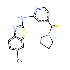 N#Cc1ccc2nc(Nc3cc(C(=S)N4CCCC4)ccn3)sc2c1